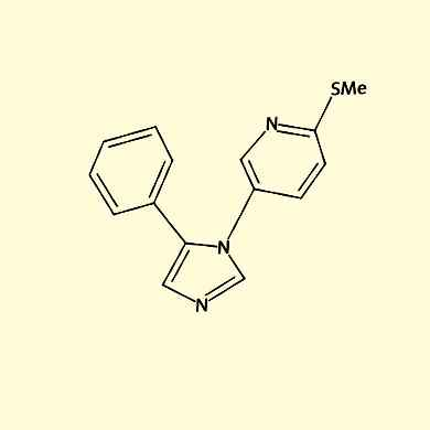 CSc1ccc(-n2cncc2-c2ccccc2)cn1